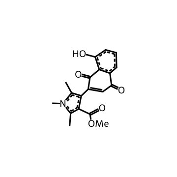 COC(=O)c1c(C2=CC(=O)c3cccc(O)c3C2=O)c(C)n(C)c1C